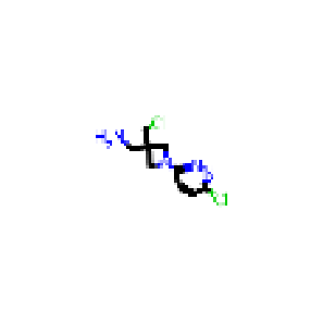 NCC1(CCl)CN(c2ccc(Cl)nn2)C1